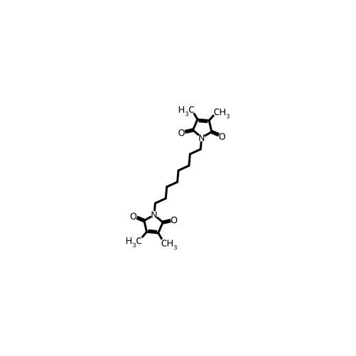 CC1=C(C)C(=O)N(CCCCCCCCN2C(=O)C(C)=C(C)C2=O)C1=O